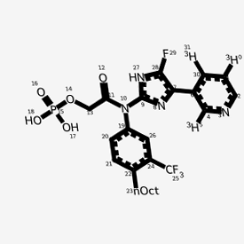 [3H]c1cnc([3H])c(-c2nc(N(C(=O)COP(=O)(O)O)c3ccc(CCCCCCCC)c(C(F)(F)F)c3)[nH]c2F)c1[3H]